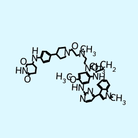 C=CC(=O)Nc1cc(Nc2nccc(-c3cn(C)c4ccccc34)n2)c(OC)cc1N(C)CCN(C)CC(=O)N1CCC(c2ccc(NC3CCC(=O)NC3=O)cc2)CC1